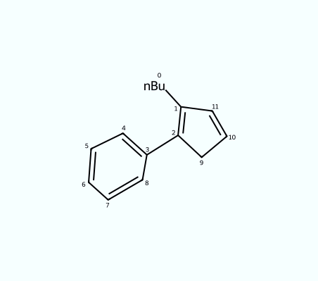 CCCCC1=C(c2ccccc2)CC=C1